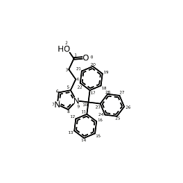 O=C(O)CCc1cncn1C(c1ccccc1)(c1ccccc1)c1ccccc1